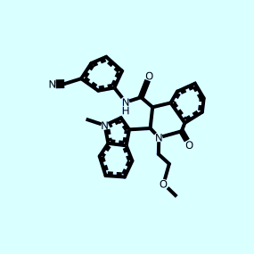 COCCN1C(=O)c2ccccc2C(C(=O)Nc2cccc(C#N)c2)C1c1cn(C)c2ccccc12